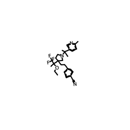 CCOC(C)(C(F)(F)F)C1(CCc2ccc(C#N)cc2)CCN(C(C)(C)c2ccc(C)nc2)C1